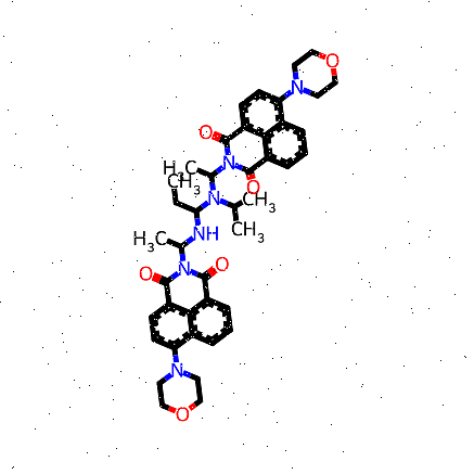 CCC(NC(C)N1C(=O)c2cccc3c(N4CCOCC4)ccc(c23)C1=O)N(C(C)C)C(C)N1C(=O)c2cccc3c(N4CCOCC4)ccc(c23)C1=O